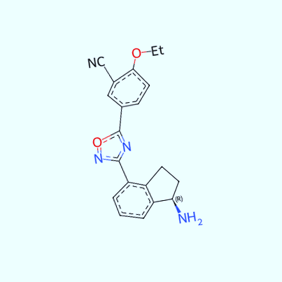 CCOc1ccc(-c2nc(-c3cccc4c3CC[C@H]4N)no2)cc1C#N